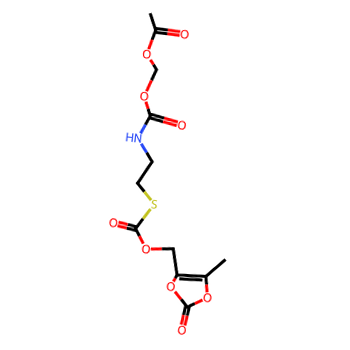 CC(=O)OCOC(=O)NCCSC(=O)OCc1oc(=O)oc1C